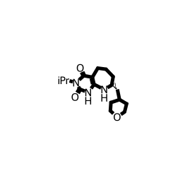 CC(C)n1c(=O)[nH]c2c(c1=O)CCC[C@H](CC1CCOCC1)N2